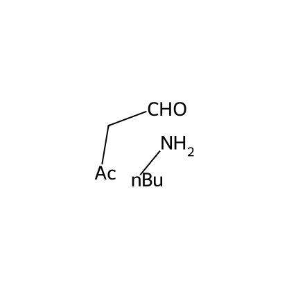 CC(=O)CC=O.CCCCN